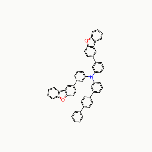 c1ccc(-c2ccc(-c3cccc(N(c4cccc(-c5ccc6oc7ccccc7c6c5)c4)c4cccc(-c5ccc6oc7ccccc7c6c5)c4)c3)cc2)cc1